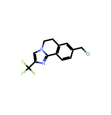 FC(F)(F)c1cn2c(n1)-c1ccc(CCl)cc1CC2